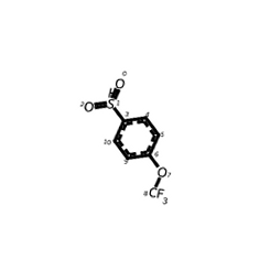 O=[SH](=O)c1ccc(OC(F)(F)F)cc1